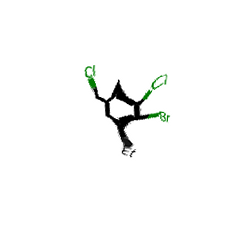 CCc1cc(CCl)cc(Cl)c1Br